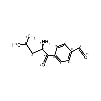 CC(C)C[C@@H](N)C(=O)c1ccc(C=O)cc1